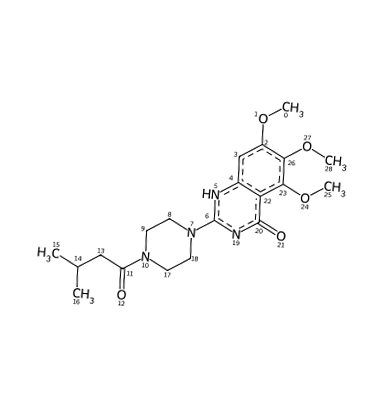 COc1cc2[nH]c(N3CCN(C(=O)CC(C)C)CC3)nc(=O)c2c(OC)c1OC